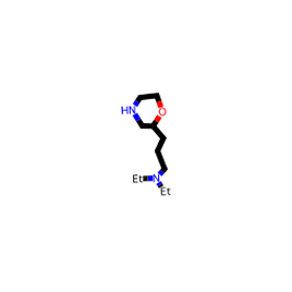 CCN(CC)CCCC1CNCCO1